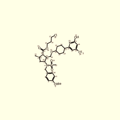 COc1ccc(CN([C@H]2C[C@@H](C)N(C(=O)OCCCCl)[C@H]2COC2CCC(c3cc(C(F)(F)F)cc(O)n3)CC2)S(C)(=O)=O)cc1